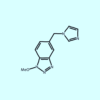 COn1nnc2cc(Cn3ccnc3)ccc21